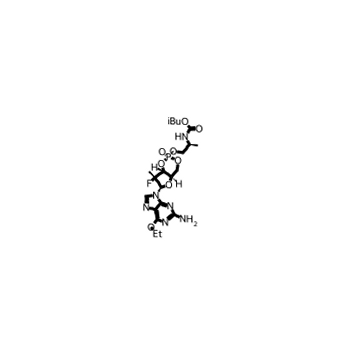 CCOc1nc(N)nc2c1ncn2[C@@H]1O[C@@H]2CO[P@@](=O)(OC[C@H](C)NC(=O)OCC(C)C)O[C@H]2[C@@]1(C)F